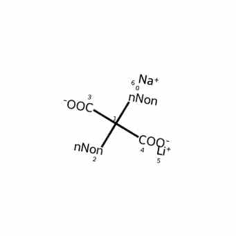 CCCCCCCCCC(CCCCCCCCC)(C(=O)[O-])C(=O)[O-].[Li+].[Na+]